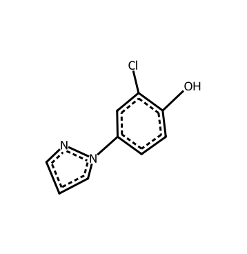 Oc1ccc(-n2cccn2)cc1Cl